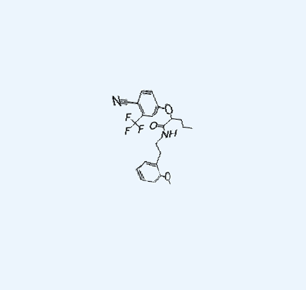 CCCC(Oc1ccc(C#N)c(C(F)(F)F)c1)C(=O)NCCc1ccccc1OC